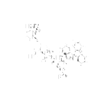 O=C(O)C1=C(CSN2C=CC=C3NN=NN32)CS[C@@H]2C(NC(=O)/C(=N/OC(F)F)c3csc(NC(c4ccccc4)(c4ccccc4)c4ccccc4)n3)C(=O)N12